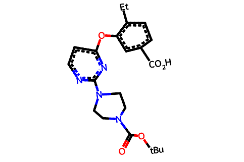 CCc1ccc(C(=O)O)cc1Oc1ccnc(N2CCN(C(=O)OC(C)(C)C)CC2)n1